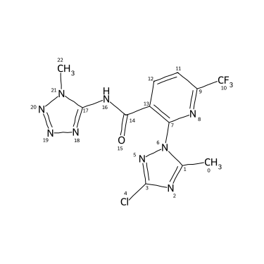 Cc1nc(Cl)nn1-c1nc(C(F)(F)F)ccc1C(=O)Nc1nnnn1C